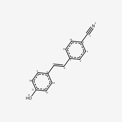 N#Cc1ccc(C=Cc2ccc(O)cc2)cc1